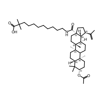 C=C(C)[C@@H]1CC[C@]2(C(=O)NCCCCCCCCCC(C)(C)C(=O)O)CC[C@]3(C)[C@H](CCC4[C@@]5(C)CC[C@H](OC(C)=O)C(C)(C)[C@@H]5CC[C@]43C)[C@@H]12